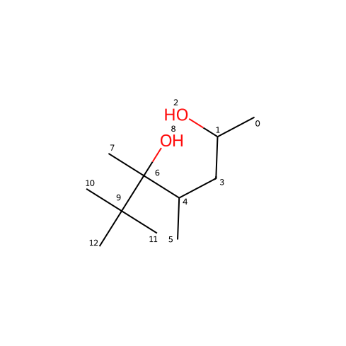 CC(O)CC(C)C(C)(O)C(C)(C)C